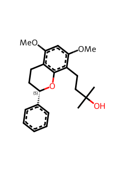 COc1cc(OC)c(CCC(C)(C)O)c2c1CC[C@@H](c1ccccc1)O2